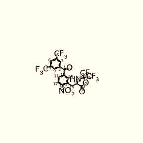 O=C(c1cc(C(F)(F)F)cc(C(F)(F)F)c1)c1ccc([N+](=O)[O-])c(CC2NC(C(F)(F)F)(C(F)(F)F)OC2=O)c1